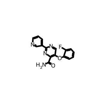 NC(=O)c1nc(-c2cccnc2)ncc1Oc1ccccc1F